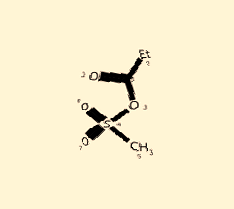 CCC(=O)OS(C)(=O)=O